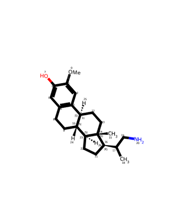 COc1cc2c(cc1O)CC[C@@H]1[C@@H]2CC[C@]2(C)[C@@H](C(C)CN)CC[C@@H]12